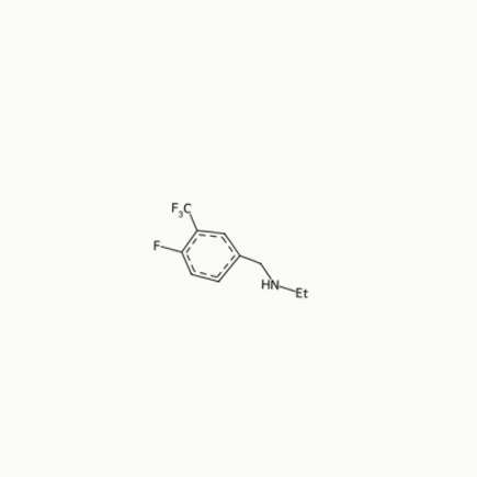 CCNCc1ccc(F)c(C(F)(F)F)c1